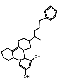 CC(CCCc1ccccc1)C1CCC2=C3CCCCC3N3C=C(O)C=C(O)C3C2C1